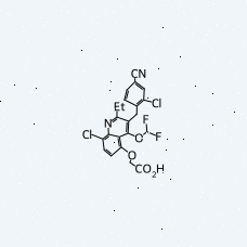 CCc1nc2c(Cl)ccc(OCC(=O)O)c2c(OC(F)F)c1Cc1ccc(C#N)cc1Cl